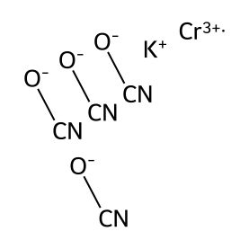 N#C[O-].N#C[O-].N#C[O-].N#C[O-].[Cr+3].[K+]